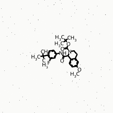 COc1ccc2c(c1)CCN(C(=O)OC(C)(C)C)C2C(=O)Nc1ccc(C(C)(C)C)c(F)c1